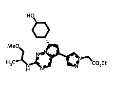 CCOC(=O)Cn1cc(-c2cc([C@H]3CC[C@H](O)CC3)n3nc(N[C@@H](C)COC)ncc23)cn1